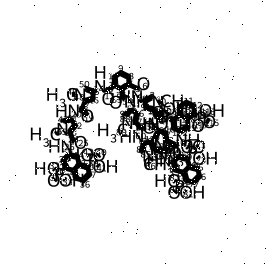 Cn1cc(NC(=O)c2cccc(C(=O)Nc3cc(C(=O)Nc4cc(C(=O)Nc5cc(P(=O)(O)O)c6cccc(P(=O)(O)O)c6c5)n(C)c4)n(C)c3)c2C(=O)Nc2cc(C(=O)Nc3cc(C(=O)Nc4cc(P(=O)(O)O)c5cccc(P(=O)(O)O)c5c4)n(C)c3)n(C)c2)cc1C(=O)Nc1cc(C(=O)Nc2cc(P(=O)(O)O)c3cccc(P(=O)(O)O)c3c2)n(C)c1